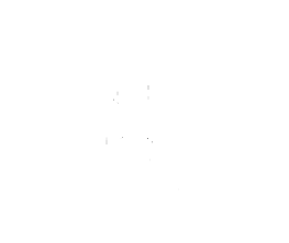 CC(C)[C@H](NC(=O)OC(C)(C)C)c1ncc(Cl)cc1CCl